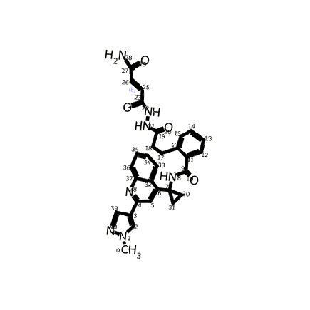 Cn1cc(-c2cc(C3(NC(=O)c4ccccc4CCC(=O)NNC(=O)/C=C/C(N)=O)CC3)c3ccccc3n2)cn1